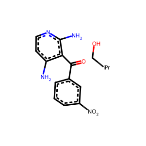 CC(C)CO.Nc1ccnc(N)c1C(=O)c1cccc([N+](=O)[O-])c1